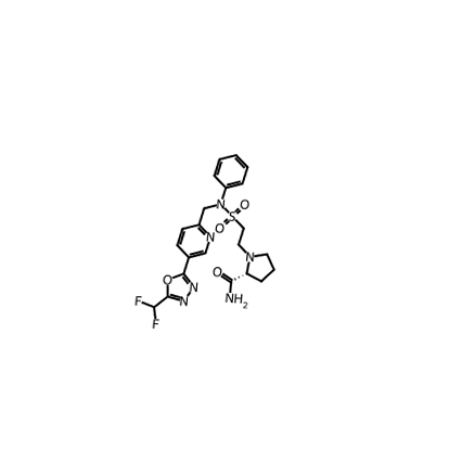 NC(=O)[C@H]1CCCN1CCS(=O)(=O)N(Cc1ccc(-c2nnc(C(F)F)o2)cn1)c1ccccc1